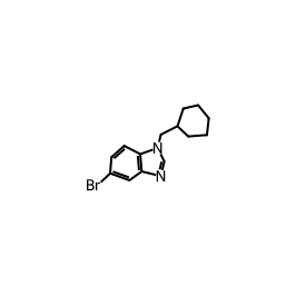 Brc1ccc2c(c1)ncn2CC1CCCCC1